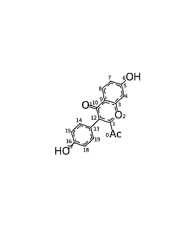 CC(=O)c1oc2cc(O)ccc2c(=O)c1-c1ccc(O)cc1